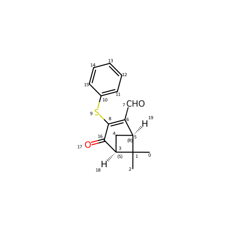 CC1(C)[C@@H]2C[C@H]1C(C=O)=C(Sc1ccccc1)C2=O